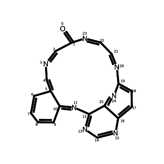 O=c1cncc2ccccc2nc2ncnc3ccc(nccn1)nc32